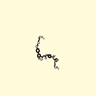 CCCCOCCOc1ccc(-c2cccc(C(C)CC(=O)Nc3ccc([S@+]([O-])Cc4cncn4CCCC)cc3)c2)cc1